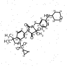 CC1(C)CN(S(=O)(=O)C2CC2)c2cc(N3C(=O)N(Cc4ccnc(NC5CCOCC5)c4)C(C)(C)C3=O)ccc21